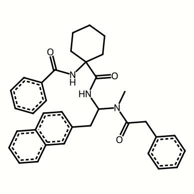 CN(C(=O)Cc1ccccc1)C(Cc1ccc2ccccc2c1)NC(=O)C1(NC(=O)c2ccccc2)CCCCC1